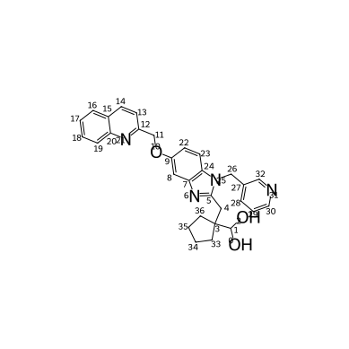 OC(O)C1(Cc2nc3cc(OCc4ccc5ccccc5n4)ccc3n2Cc2cccnc2)CCCC1